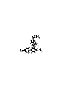 CCn1ccc(S(=O)(=O)Nc2cc(-c3ccc(C#N)cc3)ccc2C)c1